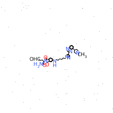 CN1CCC(c2cccc3ncc(-c4cnn(CCCCCCNc5ccc6c(c5)C(=O)N(C(CCC=O)C(N)=O)C6=O)c4)nc23)CC1